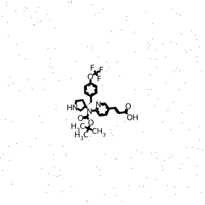 CC(C)(C)OC(=O)N(c1ccc(/C=C/C(=O)O)cn1)[C@]1(Cc2ccc(OC(F)(F)F)cc2)CCNC1